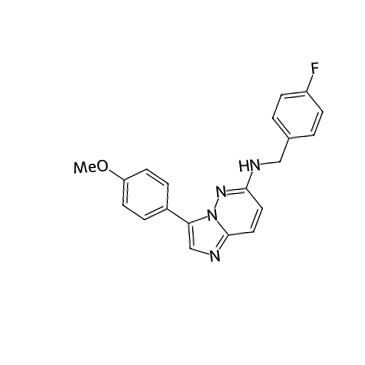 COc1ccc(-c2cnc3ccc(NCc4ccc(F)cc4)nn23)cc1